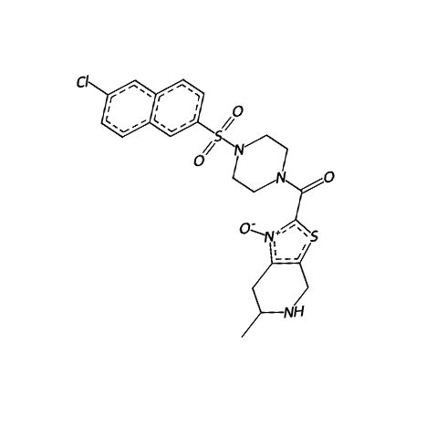 CC1Cc2c(sc(C(=O)N3CCN(S(=O)(=O)c4ccc5cc(Cl)ccc5c4)CC3)[n+]2[O-])CN1